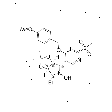 CC[C@@H]1[C@H]2OC(C)(C)O[C@H]2[C@H](c2cnc(S(C)(=O)=O)nc2OCc2ccc(OC)cc2)N1O